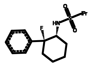 CC(C)S(=O)(=O)N[C@@H]1CCCC[C@@]1(F)c1ccccc1